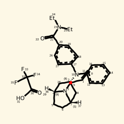 C=CCN1[C@@H]2CC[C@H]1C[C@@H](N(c1ccccc1)c1ccc(C(=O)N(CC)CC)cc1)C2.O=C(O)C(F)(F)F